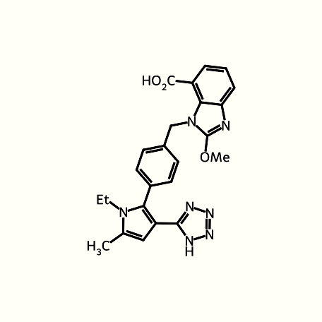 CCn1c(C)cc(-c2nnn[nH]2)c1-c1ccc(Cn2c(OC)nc3cccc(C(=O)O)c32)cc1